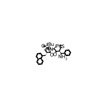 CC(C)[C@H](NC(=O)[C@H](Cc1cccc2ccccc12)CS(=O)(=O)C(C)(C)C)C(=O)[C@@H](C1CS1)C(N)c1ccccc1